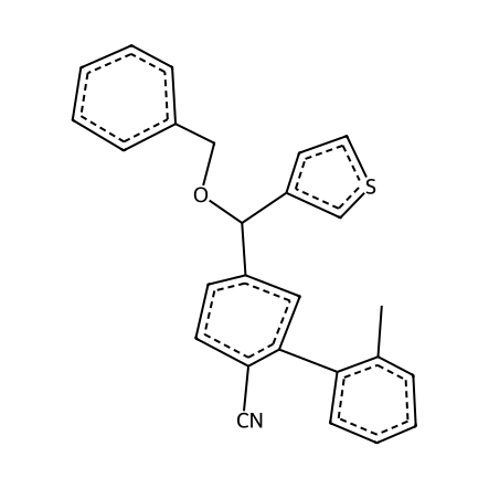 Cc1ccccc1-c1cc(C(OCc2ccccc2)c2ccsc2)ccc1C#N